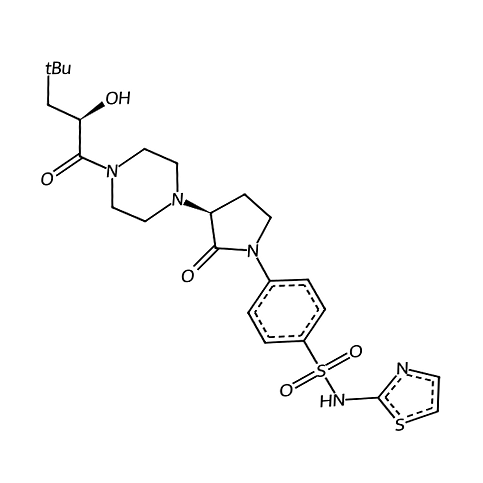 CC(C)(C)C[C@@H](O)C(=O)N1CCN([C@H]2CCN(c3ccc(S(=O)(=O)Nc4nccs4)cc3)C2=O)CC1